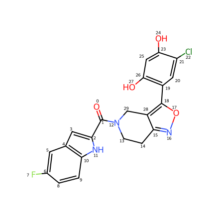 O=C(c1cc2cc(F)ccc2[nH]1)N1CCc2noc(-c3cc(Cl)c(O)cc3O)c2C1